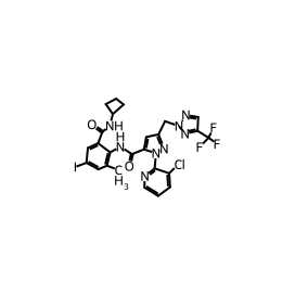 Cc1cc(I)cc(C(=O)NC2CCC2)c1NC(=O)c1cc(Cn2ncc(C(F)(F)F)n2)nn1-c1ncccc1Cl